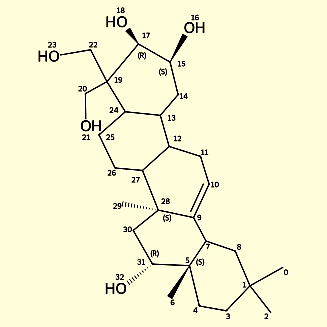 CC1(C)CC[C@@]2(C)C(C1)C1=CCC3C4C[C@H](O)[C@H](O)C(CO)(CO)C4CCC3[C@]1(C)C[C@H]2O